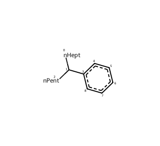 CCCCCCCC(CCCCC)c1ccccc1